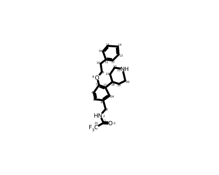 O=C(NCc1ccc(OCCc2ccccc2)c(C2CCNCC2)c1)C(F)(F)F